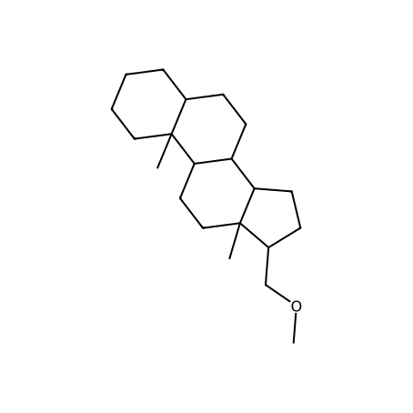 COCC1CCC2C3CCC4CCCCC4(C)C3CCC12C